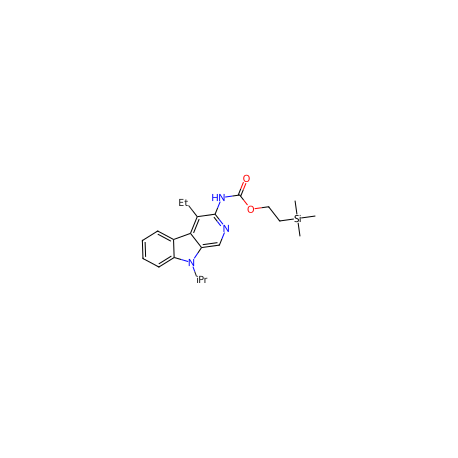 CCc1c(NC(=O)OCC[Si](C)(C)C)ncc2c1c1ccccc1n2C(C)C